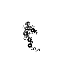 CCOC(=O)C1=C(CN2CCN3C(=O)N(c4ccc(Oc5cccc(C(=O)O)c5)cn4)C[C@@H]3C2)NC(c2nccs2)=N[C@H]1c1ccc(F)cc1Br